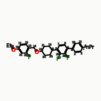 CCCc1ccc(-c2ccc(C3CCC(OCc4ccc(OCC)cc4F)CC3)c(F)c2F)cc1